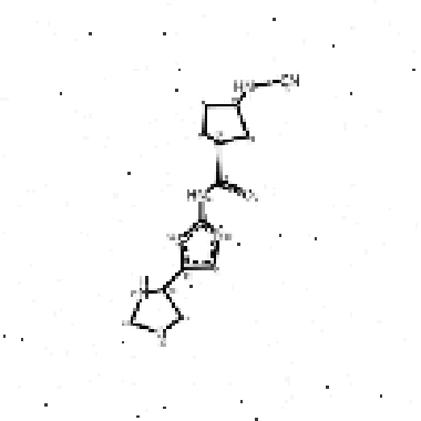 N#CNC1CC[C@H](C(=O)Nc2ncc(C3COCN3)s2)C1